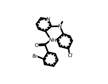 CN(c1ccc(Cl)cc1)c1ncccc1NC(=O)c1ccccc1Br